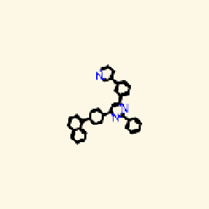 c1ccc(-c2nc(-c3cccc(-c4cccnc4)c3)cc(C3CCC(c4cccc5ccccc45)CC3)n2)cc1